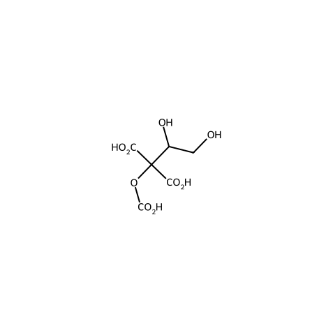 O=C(O)OC(C(=O)O)(C(=O)O)C(O)CO